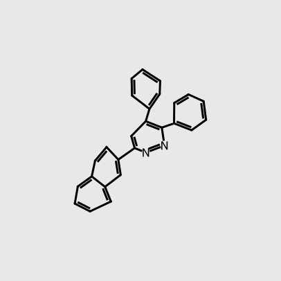 c1ccc(-c2cc(-c3ccc4ccccc4c3)nnc2-c2ccccc2)cc1